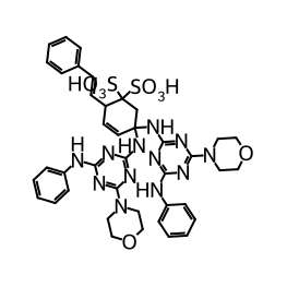 O=S(=O)(O)C1(S(=O)(=O)O)CC(Nc2nc(Nc3ccccc3)nc(N3CCOCC3)n2)(Nc2nc(Nc3ccccc3)nc(N3CCOCC3)n2)C=CC1C=Cc1ccccc1